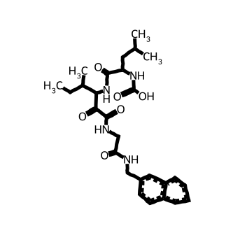 CCC(C)C(NC(=O)C(CC(C)C)NC(=O)O)C(=O)C(=O)NCC(=O)NCc1ccc2ccccc2c1